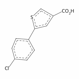 O=C(O)c1csc(-c2ccc(Cl)cc2)c1